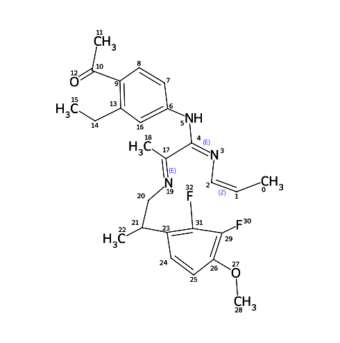 C\C=C/N=C(Nc1ccc(C(C)=O)c(CC)c1)\C(C)=N\CC(C)c1ccc(OC)c(F)c1F